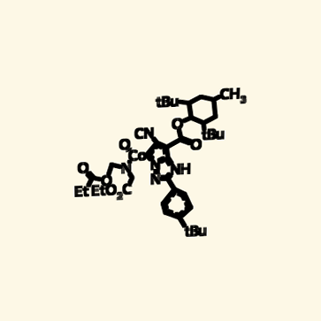 [C-]#[N+]c1c(C(=O)OC2C(C(C)(C)C)CC(C)CC2C(C)(C)C)c2[nH]c(-c3ccc(C(C)(C)C)cc3)nn2[c]1[Co](=[O])[N](COC(=O)CC)CC(=O)OCC